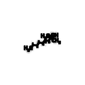 CCCCCCCC(C)(C)O